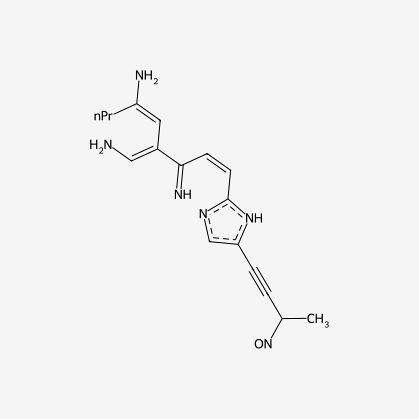 CCC/C(N)=C\C(=C/N)C(=N)/C=C\c1ncc(C#CC(C)N=O)[nH]1